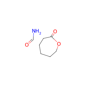 NC=O.O=C1CCCCCO1